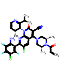 C=CC(=O)N1[C@H](C)CN(c2c(C#N)c(=O)n([C@H]3C(C(C)C)=NC=C[C@H]3C)c3nc(-c4c(N)c(F)c(F)c(Cl)c4F)c(Cl)cc23)C[C@@H]1C